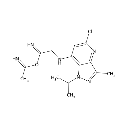 CC(=N)OC(=N)CNc1cc(Cl)nc2c(C)nn(C(C)C)c12